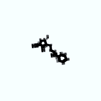 C[C@H]1CC(=N)N[C@@H]1CCCNc1ccccc1